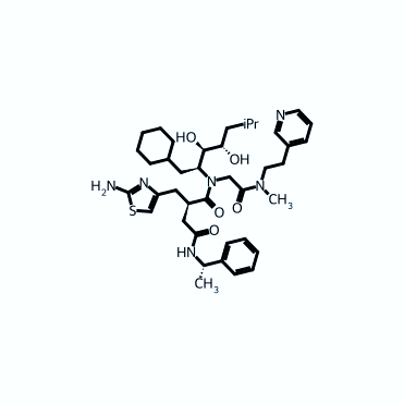 CC(C)C[C@H](O)[C@H](O)[C@H](CC1CCCCC1)N(CC(=O)N(C)CCc1cccnc1)C(=O)[C@@H](CC(=O)N[C@@H](C)c1ccccc1)Cc1csc(N)n1